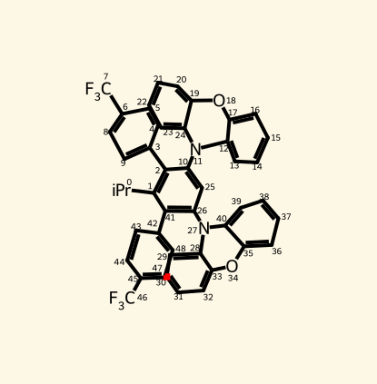 CC(C)c1c(-c2ccc(C(F)(F)F)cc2)c(N2c3ccccc3Oc3ccccc32)cc(N2c3ccccc3Oc3ccccc32)c1-c1ccc(C(F)(F)F)cc1